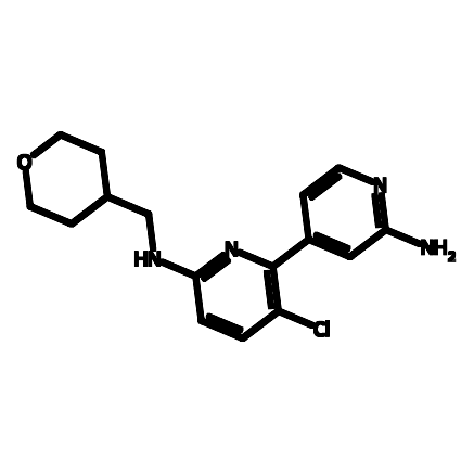 Nc1cc(-c2nc(NCC3CCOCC3)ccc2Cl)ccn1